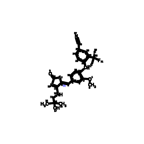 COc1cc(/C=C2\SC(=O)N=C2NCC(C)(C)O)ccc1Oc1ccc(C#N)cc1C(F)(F)F